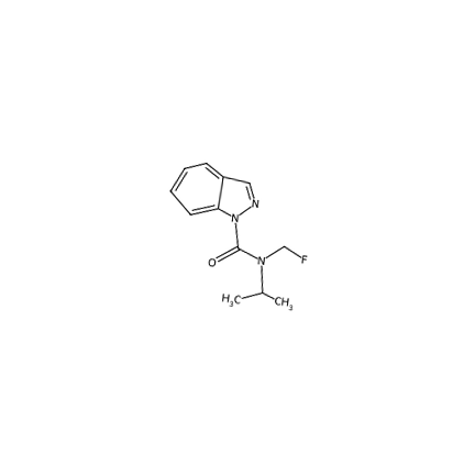 CC(C)N(CF)C(=O)n1ncc2ccccc21